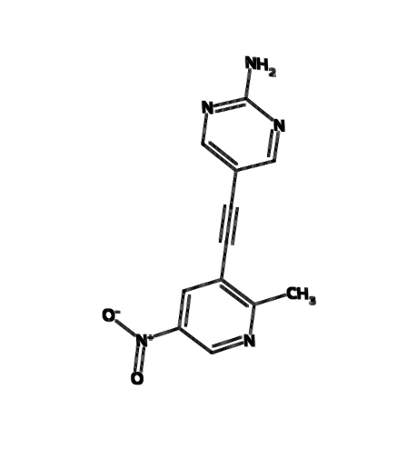 Cc1ncc([N+](=O)[O-])cc1C#Cc1cnc(N)nc1